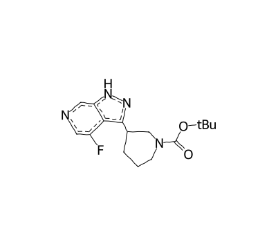 CC(C)(C)OC(=O)N1CCCC(c2n[nH]c3cncc(F)c23)C1